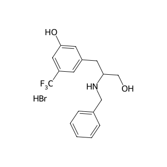 Br.OCC(Cc1cc(O)cc(C(F)(F)F)c1)NCc1ccccc1